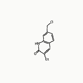 CCc1cc2ccc(CCl)cc2[nH]c1=O